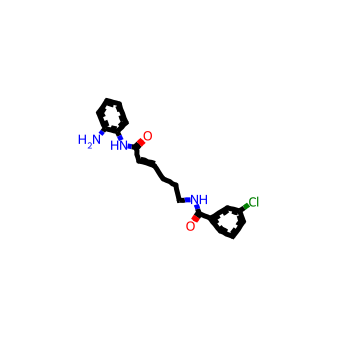 Nc1ccccc1NC(=O)C=CCCCNC(=O)c1cccc(Cl)c1